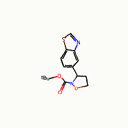 CC(C)(C)OC(=O)N1OCCC1c1ccc2scnc2c1